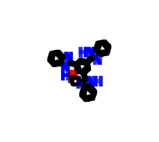 [CH2]Oc1c(-c2nc3ccccc3[nH]2)cc(-c2nc3ccccc3[nH]2)cc1-c1nc2ccccc2[nH]1